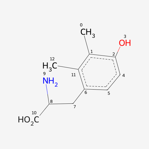 Cc1c(O)ccc(CC(N)C(=O)O)c1C